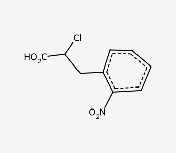 O=C(O)C(Cl)Cc1ccccc1[N+](=O)[O-]